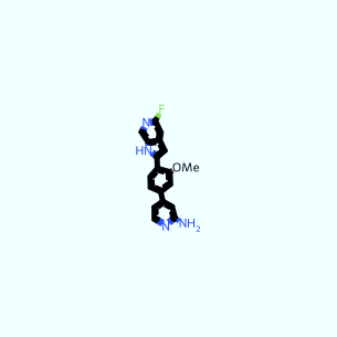 COc1cc(-c2ccnc(N)c2)ccc1-c1cc2cc(F)ncc2[nH]1